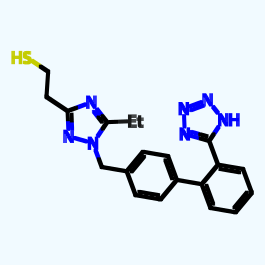 CCc1nc(CCS)nn1Cc1ccc(-c2ccccc2-c2nnn[nH]2)cc1